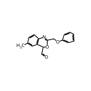 Cc1ccc2c(c1)C(C=O)OC(COc1ccccc1)=N2